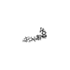 CC(C)(C)C(O)[C@H]1CC[C@H](N2CC(NC(=O)CNc3ncnc4ccc(C(F)(F)F)cc34)C2)CC1